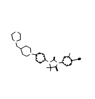 CC1(C)C(=O)N(c2ccc(C#N)c(Cl)c2)C(=S)N1c1ccc(N2CCC(CN3CCNCC3)CC2)cc1